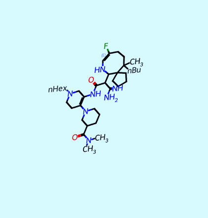 CCCCCCN1CCC(N2CCCC(C(=O)N(C)C)C2)=C(NC(=O)C(C(=N)N)C2N/C=C(/F)CCC(C)(CCCC)C23CCCC3)C1